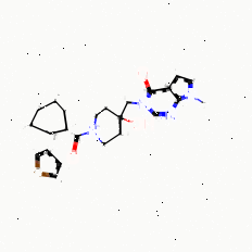 Cn1ccc2c(=O)n(CC3(O)CCN(C(=O)[C@@H]4CCCC[C@H]4c4ccsc4)CC3)cnc21